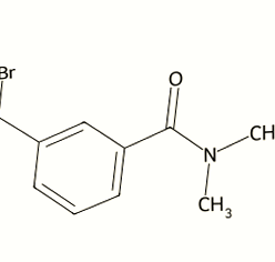 CN(C)C(=O)c1cccc(CBr)c1